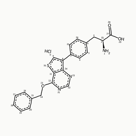 Cl.N[C@@H](Cc1ccc(-c2csc3c(OCc4ccccc4)ncnc23)cc1)C(=O)O